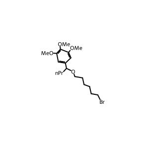 CCCC(OCCCCCCBr)c1cc(OC)c(OC)c(OC)c1